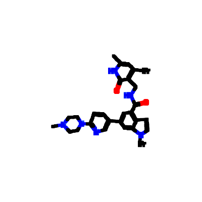 Cc1cc(C(C)C)c(CNC(=O)c2cc(-c3ccc(N4CCN(C)CC4)nc3)cc3c2ccn3C(C)C)c(=O)[nH]1